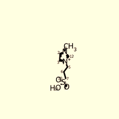 Cn1cc[n+](CCCS(=O)(=O)O)c1